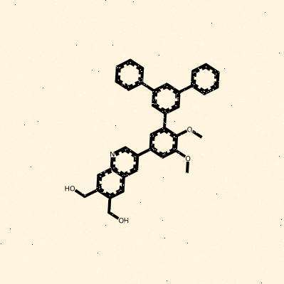 COc1cc(-c2cnc3cc(CO)c(CO)cc3c2)cc(-c2cc(-c3ccccc3)cc(-c3ccccc3)c2)c1OC